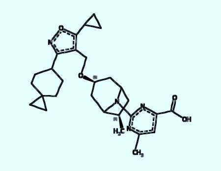 Cc1cc(C(=O)O)nc(N2C3C[C@H](OCc4c(C5CCC6(CC5)CC6)noc4C4CC4)CC2[C@H](C)C3)n1